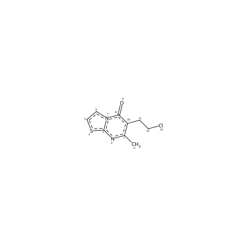 Cc1nc2sccn2c(=O)c1CCCl